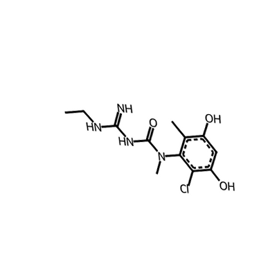 CCNC(=N)NC(=O)N(C)c1c(C)c(O)cc(O)c1Cl